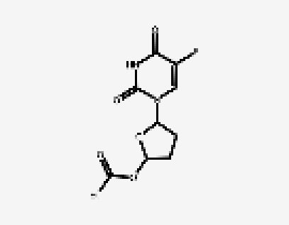 CCC(=O)OC1CCC(n2cc(F)c(=O)[nH]c2=O)O1